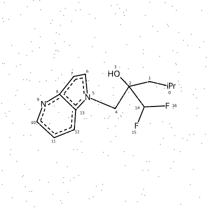 CC(C)CC(O)(Cn1ccc2ncccc21)C(F)F